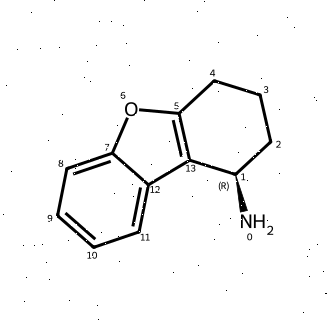 N[C@@H]1CCCc2oc3ccccc3c21